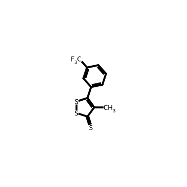 Cc1c(-c2cccc(C(F)(F)F)c2)ssc1=S